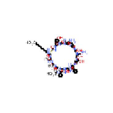 CCCC[C@H]1C(=O)N(C)[C@@H](CCCC)C(=O)N[C@@H](CC(C)C)C(=O)N[C@H](C(=O)NCCCCCCCCCCC(=O)O)CSCC(=O)N[C@@H](Cc2ccc(O)cc2)C(=O)N(C)[C@@H](C)C(=O)N[C@H]2CC(N)=C3CC[C@@H](C(=O)N[C@@H](CO)C(=O)N[C@@H](CCC(N)=O)C(=O)N4C[C@H](O)C[C@H]4C(=O)N[C@@H](Cc4c[nH]c5ccccc45)C(=O)N[C@@H](CO)C(=O)N[C@@H](Cc4cn(CC(=O)O)c5ccccc45)C(=O)N1C)N3C2=O